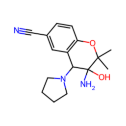 CC1(C)Oc2ccc(C#N)cc2C(N2CCCC2)C1(N)O